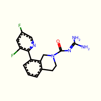 NC(N)=NC(=O)N1CCc2cccc(-c3ncc(F)cc3F)c2C1